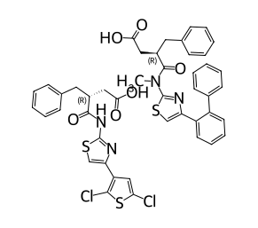 CN(C(=O)[C@@H](CC(=O)O)Cc1ccccc1)c1nc(-c2ccccc2-c2ccccc2)cs1.O=C(O)C[C@@H](Cc1ccccc1)C(=O)Nc1nc(-c2cc(Cl)sc2Cl)cs1